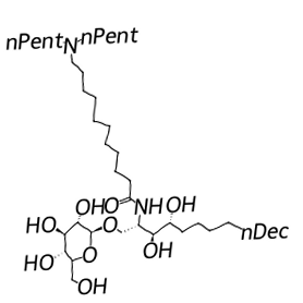 CCCCCCCCCCCCCC[C@@H](O)[C@@H](O)[C@H](CO[C@H]1OC(CO)[C@H](O)[C@@H](O)[C@@H]1O)NC(=O)CCCCCCCCCCN(CCCCC)CCCCC